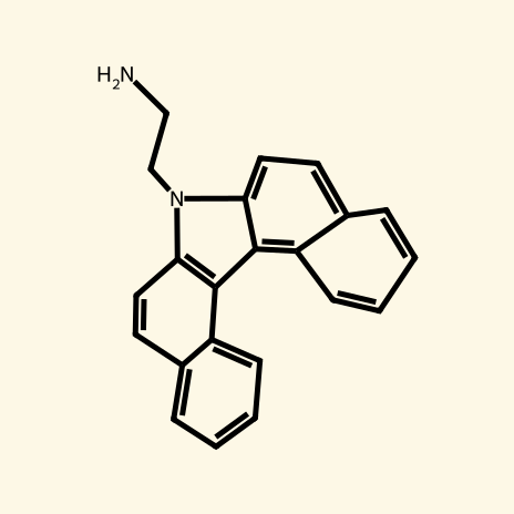 NCCn1c2ccc3ccccc3c2c2c3ccccc3ccc21